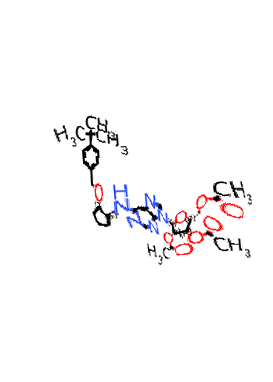 CC(=O)OC[C@H]1O[C@@H](n2cnc3c(N[C@H]4CCC[C@H]4OCc4ccc(C(C)(C)C)cc4)ncnc32)[C@H](OC(C)=O)[C@@H]1OC(C)=O